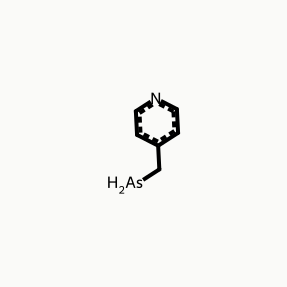 [AsH2]Cc1ccncc1